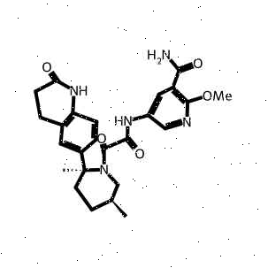 COc1ncc(NC(=O)C(=O)N2C[C@@H](C)CC[C@@]2(C)c2ccc3c(c2)CCC(=O)N3)cc1C(N)=O